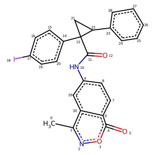 Cc1noc(=O)c2ccc(NC(=O)C3(c4ccc(I)cc4)CC3c3ccccc3)cc12